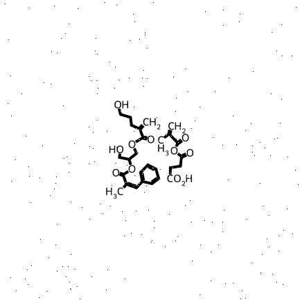 C=C(C)C(=O)OC(=O)CCC(=O)O.C=C(CCCO)C(=O)OCC(CO)OC(=O)C(C)=Cc1ccccc1